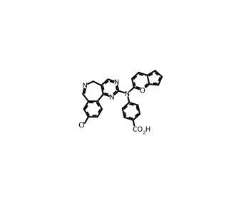 O=C(O)c1ccc(N(c2ncc3c(n2)-c2ccc(Cl)cc2C=NC3)c2ccc3cccc-3o2)cc1